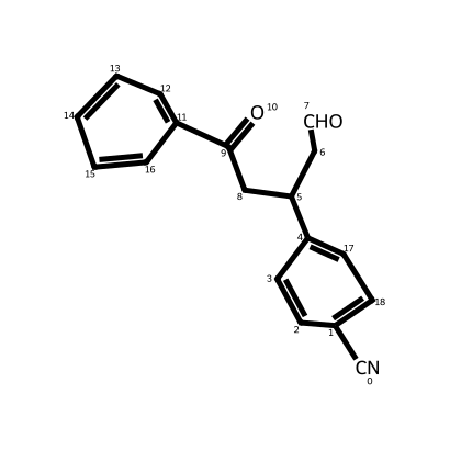 N#Cc1ccc(C(CC=O)CC(=O)c2ccccc2)cc1